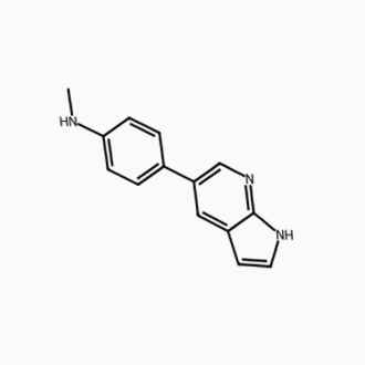 CNc1ccc(-c2cnc3[nH]ccc3c2)cc1